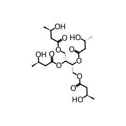 C[C@@H](O)CC(=O)OC[C@@H](OC(=O)C[C@@H](C)O)[C@@H](COC(=O)C[C@@H](C)O)OC(=O)C[C@@H](C)O